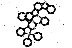 c1ccc(-c2nc(-c3ccccc3-n3c4ccccc4c4ccc5sc6ccccc6c5c43)nc3c2-c2ccccc2[Si]3(c2ccccc2)c2ccccc2)cc1